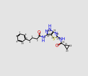 O=C(CCCc1ccccc1)Nc1n[nH]c2nc(NC(=O)C3CC3)sc12